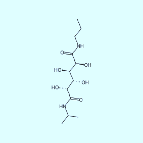 CCCNC(=O)[C@@H](O)[C@H](O)[C@H](O)[C@@H](O)C(=O)NC(C)C